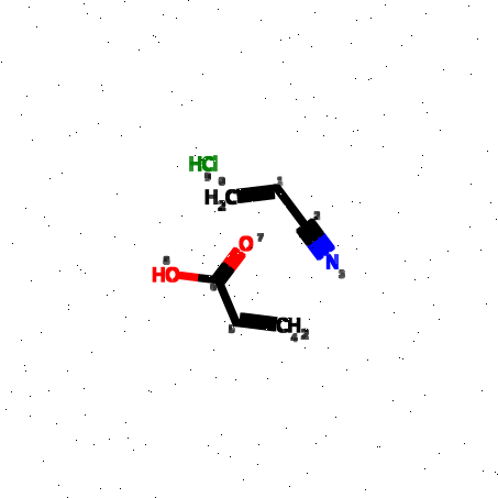 C=CC#N.C=CC(=O)O.Cl